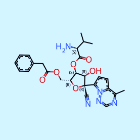 Cc1ncnn2c([C@]3(C#N)O[C@H](COC(=O)Cc4ccccc4)[C@@H](OC(=O)[C@@H](N)C(C)C)[C@H]3O)ccc12